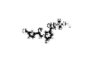 CS(=O)(=O)NNC(=O)c1ccc[n+](CC(=O)c2ccc(Cl)s2)c1.[Br-]